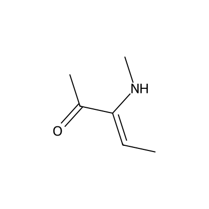 C/C=C(\NC)C(C)=O